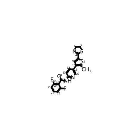 Cc1sc(C2=NCCS2)cc1-c1ccc(NC(=O)c2c(F)cccc2F)nc1